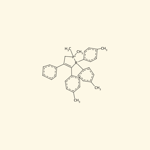 Cc1ccc(C2=C(c3ccccc3)C[P+](C)(C)[B-]2(c2ccc(C)cc2)c2ccc(C)cc2)cc1